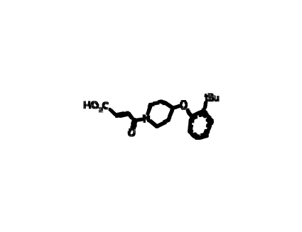 CC(C)(C)c1ccccc1OC1CCN(C(=O)C=CC(=O)O)CC1